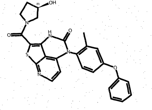 Cc1cc(Oc2ccccc2)ccc1N1C(=O)Nc2c(C(=O)N3CC[C@@H](O)C3)sc3nccc1c23